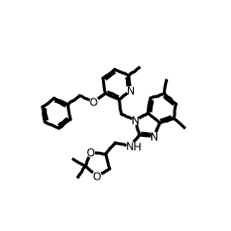 Cc1cc(C)c2nc(NCC3COC(C)(C)O3)n(Cc3nc(C)ccc3OCc3ccccc3)c2c1